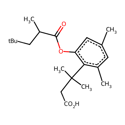 Cc1cc(C)c(C(C)(C)CC(=O)O)c(OC(=O)C(C)CC(C)(C)C)c1